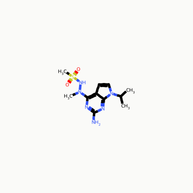 CC(C)n1ccc2c(N(C)NS(C)(=O)=O)nc(N)nc21